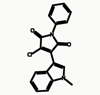 Cn1cc(C2=C(Cl)C(=O)N(c3ccccc3)C2=O)c2ccccc21